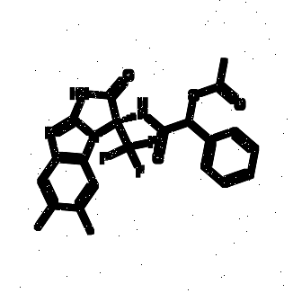 CC(=O)OC(C(=O)N[C@@]1(C(F)(F)F)C(=O)Nc2nc3cc(C)c(C)cc3n21)c1ccccc1